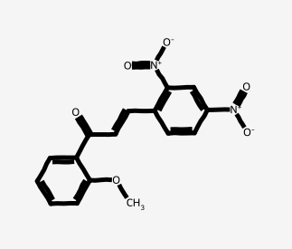 COc1ccccc1C(=O)C=Cc1ccc([N+](=O)[O-])cc1[N+](=O)[O-]